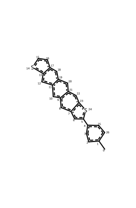 Cc1ccc(-c2cc3cc4cc5cc6sccc6cc5cc4cc3s2)cc1